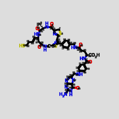 CC(C)[C@@H]1NC(=O)[C@]2(C)CSC(=N2)c2nc(sc2-c2ccc(CNC(=O)CC[C@H](NC(=O)c3ccc(NCc4cnc5nc(N)[nH]c(=O)c5n4)cc3)C(=O)O)cc2)CNC(=O)CC(/C=C/CCS)NC1=O